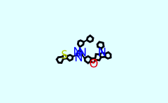 c1ccc(-c2cccc(-c3nc(-c4ccc5c(c4)sc4ccccc45)nc(-c4ccc5oc6cc7c8ccccc8n(-c8ccccc8)c7cc6c5c4)n3)c2)cc1